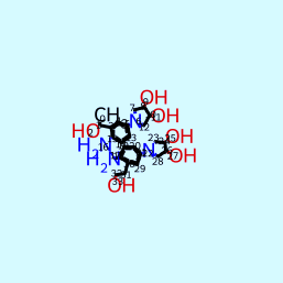 CC(O)c1cc(N2CC(O)C(O)C2)ccc1N.Nc1ccc(N2CC(O)C(O)C2)cc1CCO